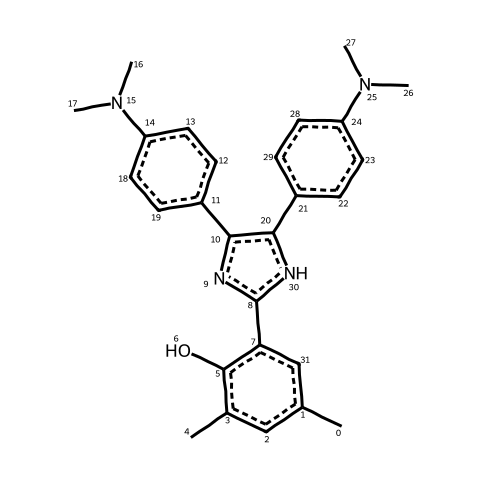 Cc1cc(C)c(O)c(-c2nc(-c3ccc(N(C)C)cc3)c(-c3ccc(N(C)C)cc3)[nH]2)c1